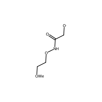 COCCONC(=O)C[O]